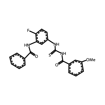 COc1cccc(C(=O)NC(=S)Nc2ccc(F)c(NC(=O)c3ccccc3)c2)c1